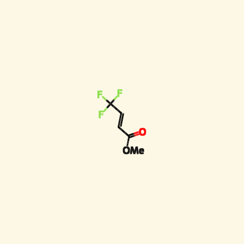 COC(=O)/C=C/C(F)(F)F